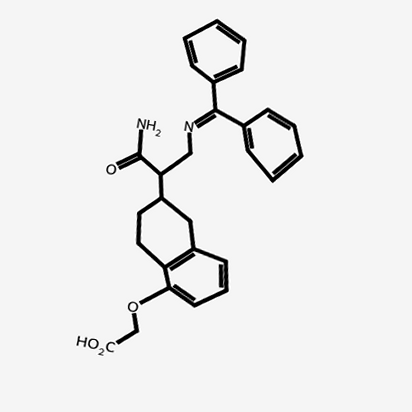 NC(=O)C(CN=C(c1ccccc1)c1ccccc1)C1CCc2c(cccc2OCC(=O)O)C1